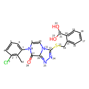 Cc1c(Cl)cccc1-n1ccn2c(SCc3ccccc3B(O)O)nnc2c1=O